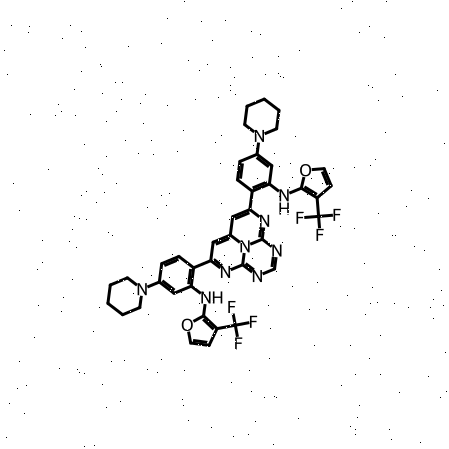 FC(F)(F)c1ccoc1Nc1cc(N2CCCCC2)ccc1C1=CC2=CC(c3ccc(N4CCCCC4)cc3Nc3occc3C(F)(F)F)=NC3=NC=NC(=N1)N23